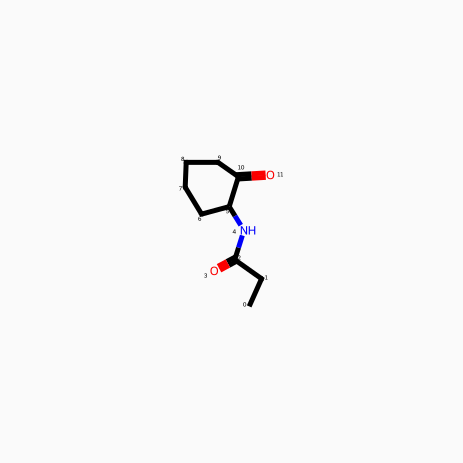 CCC(=O)NC1CCCCC1=O